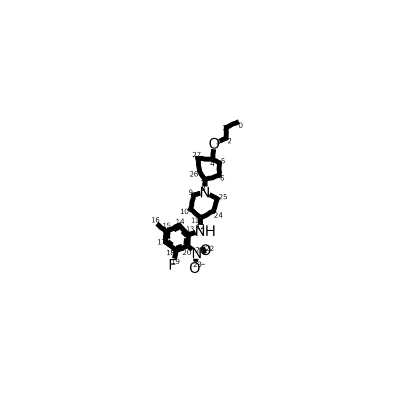 CCCOC1CCC(N2CCC(Nc3cc(C)cc(F)c3[N+](=O)[O-])CC2)CC1